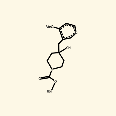 COc1ccncc1CC1(C#N)CCN(C(=O)OC(C)(C)C)CC1